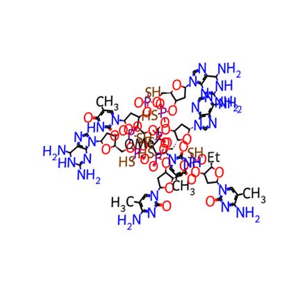 CC[C@H]1O[C@@H](n2cc(C)c(N)nc2=O)CC1OP(=O)(S)OC[C@H]1O[C@@H](n2cc(C)c(N)nc2=O)CC1OP(=O)(S)OC[C@H]1O[C@@H](n2cnc3c(N)ncnc32)CC1OP(=O)(S)OC[C@H]1O[C@@H](n2cc(C)c(=O)[nH]c2=O)CC1OP(=O)(S)OC[C@H]1O[C@@H](n2cnc3c2N=C(N)NC3N)CC1OP(=O)(S)OC[C@H]1O[C@@H](n2cc(C)c(=O)[nH]c2=O)CC1OP(=O)(S)OC[C@H]1O[C@@H](n2cnc3c2N=C(N)NC3N)CC1OP(=O)(S)OC